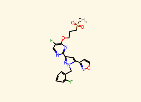 CS(=O)(=O)CCCOc1nc(-c2cc(-c3ccon3)n(Cc3ccccc3F)n2)ncc1F